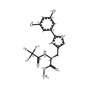 COC(=O)[C@H](Cc1coc(-c2cc(Cl)cc(Cl)c2)n1)NC(=O)C(F)(F)F